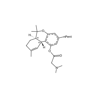 CCCCCc1cc(OC(=O)CN(C)C)c2c(c1)OC(C)(C)[C@@H]1CCC(C)=C[C@@H]21